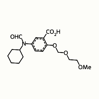 COCCOCOc1ccc(N(C=O)C2CCCCC2)cc1C(=O)O